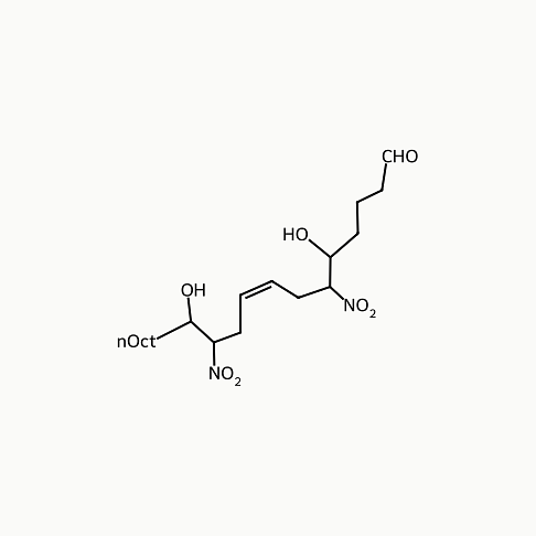 CCCCCCCCC(O)C(C/C=C\CC(C(O)CCCC=O)[N+](=O)[O-])[N+](=O)[O-]